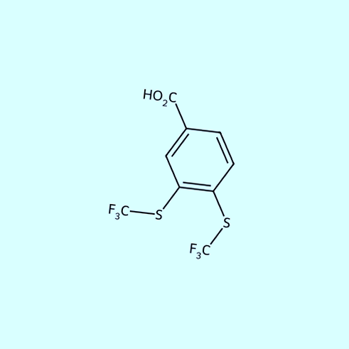 O=C(O)c1ccc(SC(F)(F)F)c(SC(F)(F)F)c1